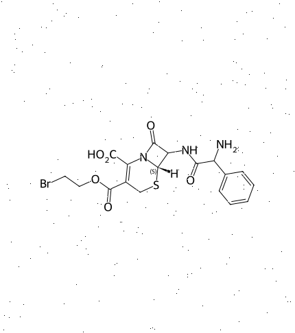 NC(C(=O)NC1C(=O)N2C(C(=O)O)=C(C(=O)OCCBr)CS[C@@H]12)c1ccccc1